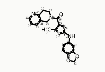 Cc1sc(Nc2ccc3c(c2)OCO3)nc1C(=O)N1CCc2ncccc2C1